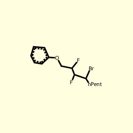 CCCCCC(Br)C(F)C(F)COc1ccccc1